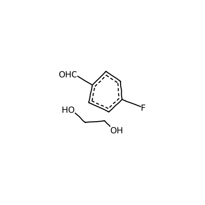 O=Cc1ccc(F)cc1.OCCO